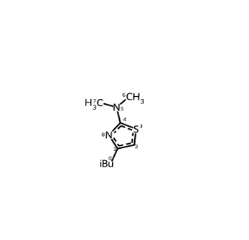 CCC(C)c1csc(N(C)C)n1